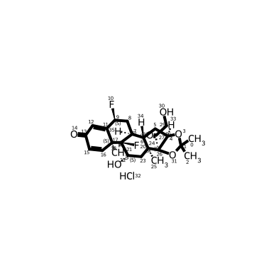 CC1(C)O[C@@H]2C[C@H]3[C@@H]4C[C@H](F)C5=CC(=O)C=C[C@]5(C)[C@@]4(F)[C@@H](O)C[C@]3(C)[C@]2(C(=O)CO)O1.Cl